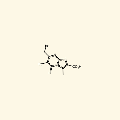 CCc1c(CBr)nc2sc(C(=O)O)c(C)n2c1=O